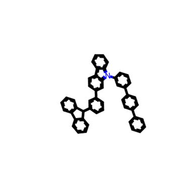 c1ccc(-c2ccc(-c3cccc(-n4c5ccccc5c5ccc(-c6cccc(C7c8ccccc8-c8ccccc87)c6)cc54)c3)cc2)cc1